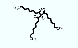 CCCCCCCC(=O)P(=O)(C(=O)CCCCCCC)C(=O)CCCCCCC